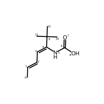 CC=CC=C(NC(=O)O)C(C)(C)C